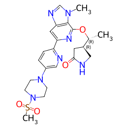 C[C@@H](Oc1nc(-c2ccc(N3CCN(S(C)(=O)=O)CC3)cn2)cc2ncn(C)c12)[C@H]1CNC(=O)C1